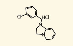 Cl.Clc1cccc(CN2CCN3CC=CC=C32)c1